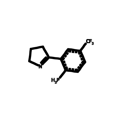 FC(F)(F)c1ccc(P)c(C2=NCCC2)c1